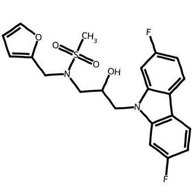 CS(=O)(=O)N(Cc1ccco1)CC(O)Cn1c2cc(F)ccc2c2ccc(F)cc21